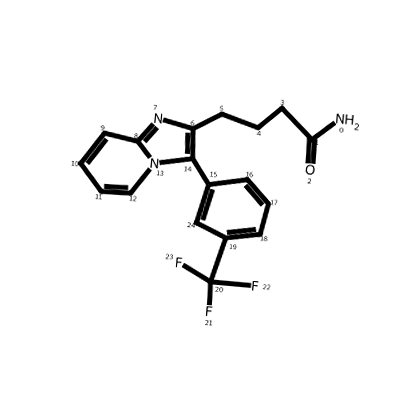 NC(=O)CCCc1nc2ccccn2c1-c1cccc(C(F)(F)F)c1